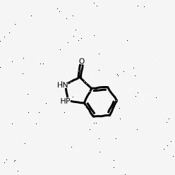 O=c1[nH][pH]c2ccccc12